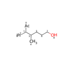 CC(=O)C(C(C)C)C(C)CCCO